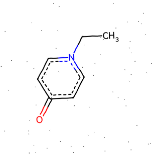 CCn1ccc(=O)cc1